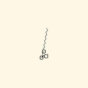 CCCCCCCCCCCOCC(=O)Cl